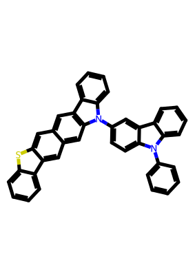 c1ccc(-n2c3ccccc3c3cc(-n4c5ccccc5c5cc6cc7sc8ccccc8c7cc6cc54)ccc32)cc1